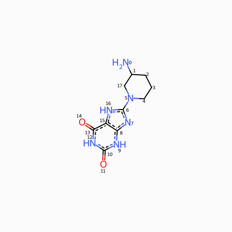 NC1CCCN(c2nc3[nH]c(=O)[nH]c(=O)c3[nH]2)C1